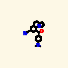 CN(C)c1ccc(C(=O)c2cc(C#N)cc3ccc4cccn4c23)cc1